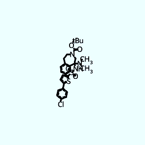 CN(C)C1(NS(=O)(=O)c2ccc(-c3ccc(Cl)cc3)s2)CN(C(=O)OC(C)(C)C)CCc2ccccc21